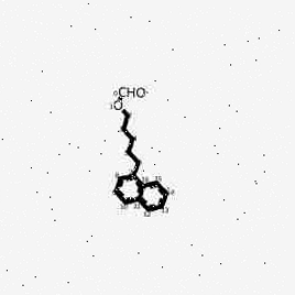 O=[C]OCCCCCc1cccc2ccccc12